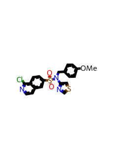 COc1ccc(CN(c2cscn2)S(=O)(=O)c2ccc3c(Cl)nccc3c2)cc1